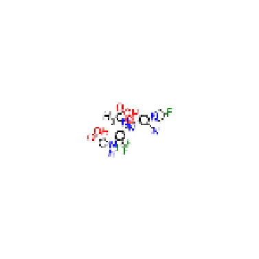 CC(=O)O.N#Cc1cc(-c2nc(-c3ccc(N[C@@H]4CC[C@H](C(=O)O)C4)c(C(F)(F)F)c3)no2)ccc1N1CCC(F)CC1